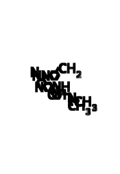 C=Cc1cccc(Nc2c(C#N)cnc3cc(O)c(NC(=O)/C=C/CN(CC)CC)cc23)c1